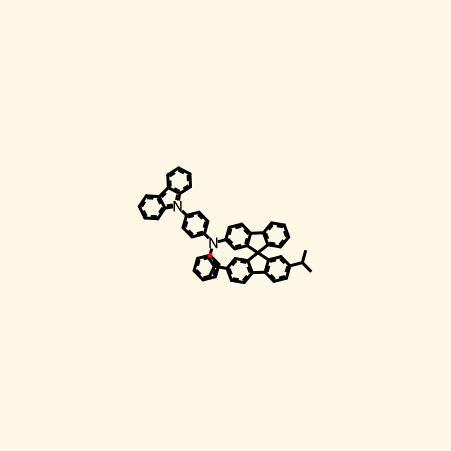 CC(C)c1ccc2c(c1)C1(c3ccccc3-c3ccc(N(c4ccccc4)c4ccc(-n5c6ccccc6c6ccccc65)cc4)cc31)c1cc(C(C)C)ccc1-2